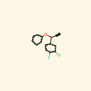 C#CC(Oc1cc[c]cc1)c1ccc(F)c(Cl)c1